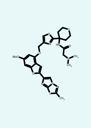 COc1cc(OCc2csc(C3(NC(=O)CN(C)C)CCOCC3)n2)c2cc(-c3cn4nc(C)sc4n3)oc2c1